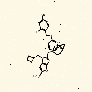 N#Cc1ccc(COc2cccc([C@@]34CCN(Cc5nc6oc(C(=O)O)cc6n5CC5CCO5)C[C@@H]3C4)n2)c(F)c1